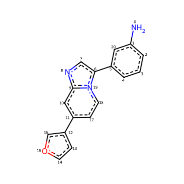 Nc1cccc(-c2cnc3cc(-c4ccoc4)ccn23)c1